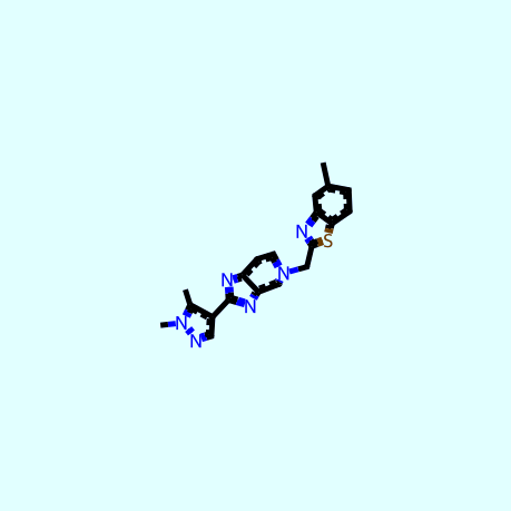 Cc1ccc2sc(Cn3ccc4nc(-c5cnn(C)c5C)nc-4c3)nc2c1